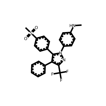 CNc1ccc(-n2nc(C(F)(F)F)c(-c3ccccc3)c2-c2ccc(S(C)(=O)=O)cc2)cc1